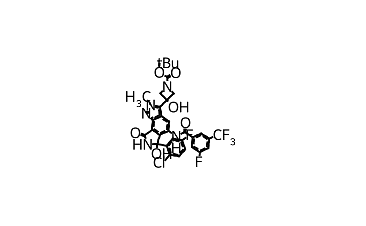 Cn1nc2c3c(c(NC(=O)c4cc(F)cc(C(F)(F)F)c4)cc2c1C1(O)CN(C(=O)OC(C)(C)C)C1)C(O)(c1cc(F)ccc1Cl)NC3=O